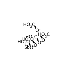 O=C([O-])O.O=C([O-])O.O=C([O-])O.O=C([O-])O.O=C([O-])O.[Sb+5]